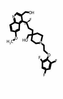 COc1ccc2ncc(CO)c([C@@H](F)CCC3(CO)CCN(CCOc4c(F)cc(F)cc4F)CC3)c2c1